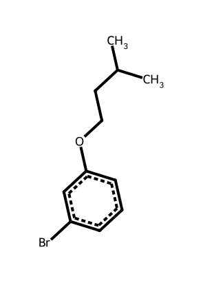 CC(C)CCOc1cccc(Br)c1